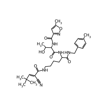 Cc1ccc(CNC(=O)C(CCCCNC(=O)C(C#N)=CC(C)(C)C)NC(=O)C(NC(=O)c2cc(C)on2)C(C)O)cc1